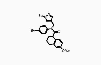 CCn1cc(CN(C(=O)C2CCCc3cc(OC)ccc32)c2ccc(C(C)C)cc2)cn1